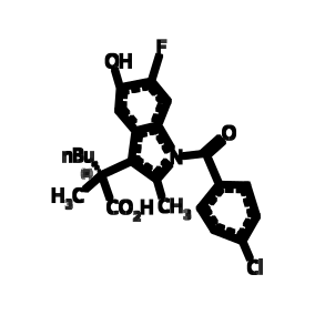 CCCC[C@@](C)(C(=O)O)c1c(C)n(C(=O)c2ccc(Cl)cc2)c2cc(F)c(O)cc12